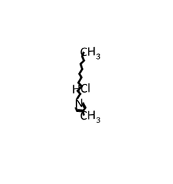 CCCCCCCCCCCCN1C=CC(C)=CC1.Cl